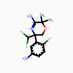 CC1(C)OCC(c2cc(N)ccc2F)(C(F)F)N=C1N